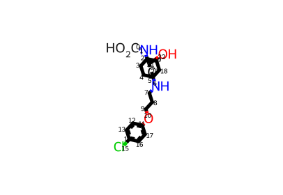 O=C(O)NC12CCC(NCCCOc3ccc(Cl)cc3)(CC1)CC2O